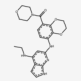 CCNc1cc(Nc2ccc(C(=O)N3CCOCC3)c3c2OCCO3)nc2[nH]ccc12